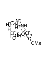 COCCOCCOC(c1ccc(NC(=O)c2cccnc2Nc2ccc3cn[nH]c3c2)cc1)(C(F)(F)F)C(F)(F)F.O=C(O)C(F)(F)F